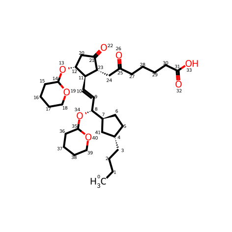 CCCC[C@H]1CC[C@H]([C@@H](/C=C/[C@H]2[C@H](OC3CCCCO3)CC(=O)[C@@H]2CC(=O)CCCCC(=O)O)OC2CCCCO2)C1